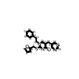 O=c1nc(SCc2ccco2)n(CCc2ccccc2)cc1Cc1cncnc1